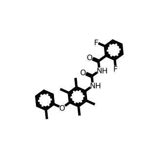 Cc1ccccc1Oc1c(C)c(C)c(NC(=O)NC(=O)c2c(F)cccc2F)c(C)c1C